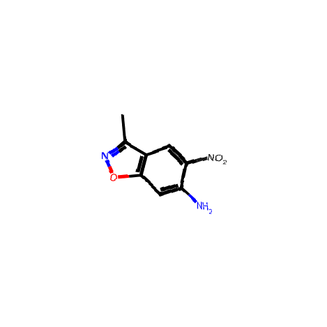 Cc1noc2cc(N)c([N+](=O)[O-])cc12